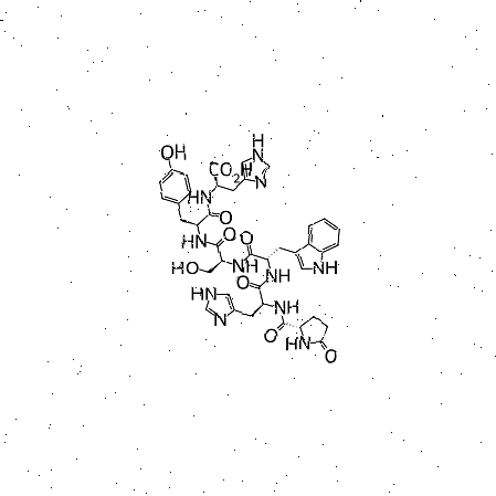 O=C1CC[C@@H](C(=O)N[C@@H](Cc2c[nH]cn2)C(=O)N[C@@H](Cc2c[nH]c3ccccc23)C(=O)N[C@@H](CO)C(=O)N[C@@H](Cc2ccc(O)cc2)C(=O)N[C@H](Cc2c[nH]cn2)C(=O)O)N1